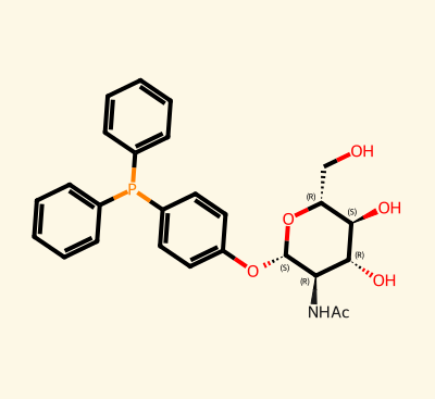 CC(=O)N[C@H]1[C@H](Oc2ccc(P(c3ccccc3)c3ccccc3)cc2)O[C@H](CO)[C@@H](O)[C@@H]1O